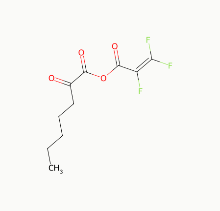 CCCCCC(=O)C(=O)OC(=O)C(F)=C(F)F